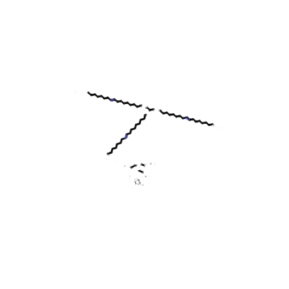 CCCCCCCC/C=C/CCCCCCCC(=O)OCC(COC(=O)CCCCCCC/C=C/CCCCCCCC)OC(=O)CCCCCCC/C=C/CCCCCCCC.O=S(=O)(O)O.OCCN(CCO)CCO